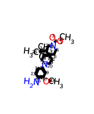 COC(=O)N1CCC2(CCN(c3ccc(N)c(OC)c3)CC2)C(C(C)(C)C)C1